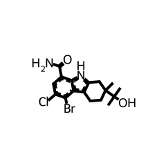 CC(C)(O)C1(C)CCc2c([nH]c3c(C(N)=O)cc(Cl)c(Br)c23)C1